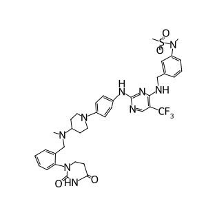 CN(Cc1ccccc1N1CCC(=O)NC1=O)C1CCN(c2ccc(Nc3ncc(C(F)(F)F)c(NCc4cccc(N(C)S(C)(=O)=O)c4)n3)cc2)CC1